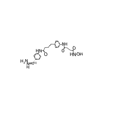 NN[C@@H]1C[C@H]1c1ccc(NC(=O)CCCc2ccc(NC(=O)CCC(=O)NO)cc2)cc1